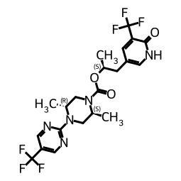 C[C@@H]1CN(C(=O)O[C@@H](C)Cc2c[nH]c(=O)c(C(F)(F)F)c2)[C@@H](C)CN1c1ncc(C(F)(F)F)cn1